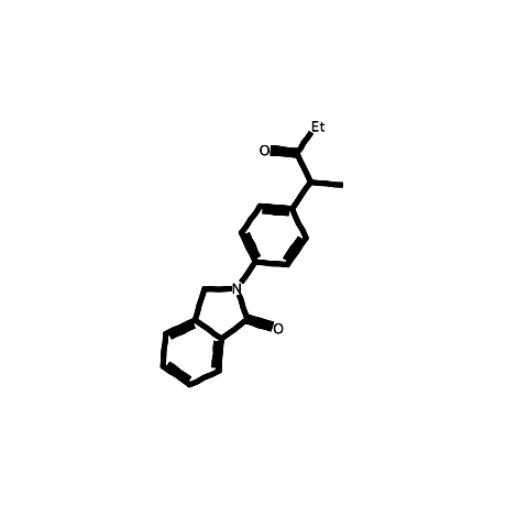 CCC(=O)C(C)c1ccc(N2Cc3ccccc3C2=O)cc1